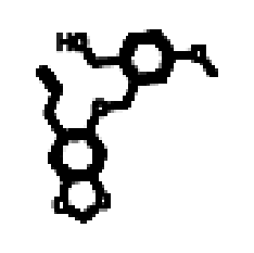 C=CCc1cc2c(cc1OCc1cc(OC)ccc1CO)OCO2